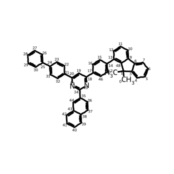 CC1(C)c2ccccc2-c2cccc(-c3ccc(-c4cc(-c5ccc(-c6ccccc6)cc5)nc(-c5ccc6ccccc6c5)n4)cc3)c21